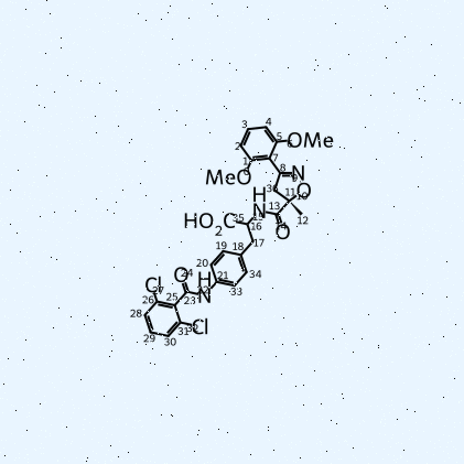 COc1cccc(OC)c1C1=NO[C@](C)(C(=O)NC(Cc2ccc(NC(=O)c3c(Cl)cccc3Cl)cc2)C(=O)O)C1